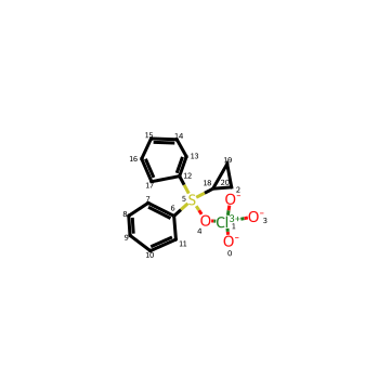 [O-][Cl+3]([O-])([O-])OS(c1ccccc1)(c1ccccc1)C1CC1